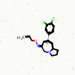 C=CCON=C1C[C@H](c2ccc(Cl)c(Cl)c2)CC2CCCN2C1